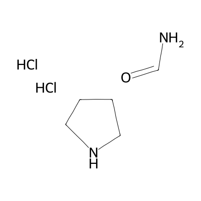 C1CCNC1.Cl.Cl.NC=O